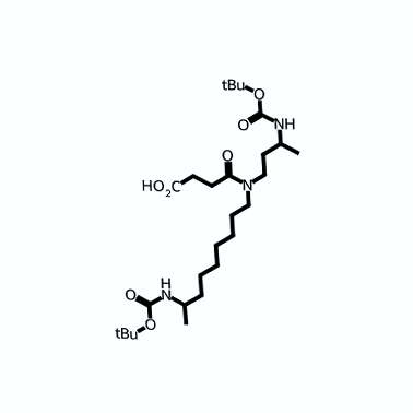 CC(CCCCCCCN(CCC(C)NC(=O)OC(C)(C)C)C(=O)CCC(=O)O)NC(=O)OC(C)(C)C